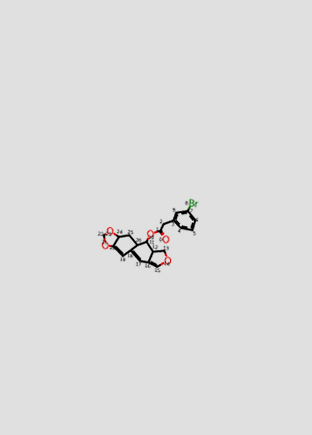 O=C(Cc1cccc(Br)c1)OC1C2COC=C2C=C2C=C3OCOC3CC21